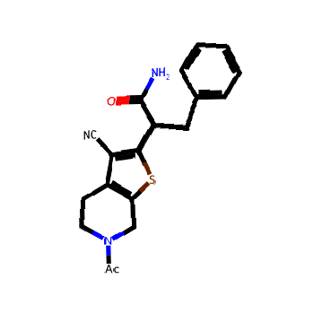 CC(=O)N1CCc2c(sc(C(Cc3ccccc3)C(N)=O)c2C#N)C1